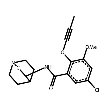 CC#COc1c(OC)cc(Cl)cc1C(=O)NC1CN2CCC1CC2